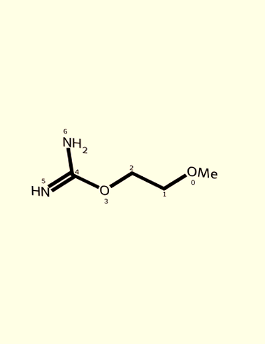 COCCOC(=N)N